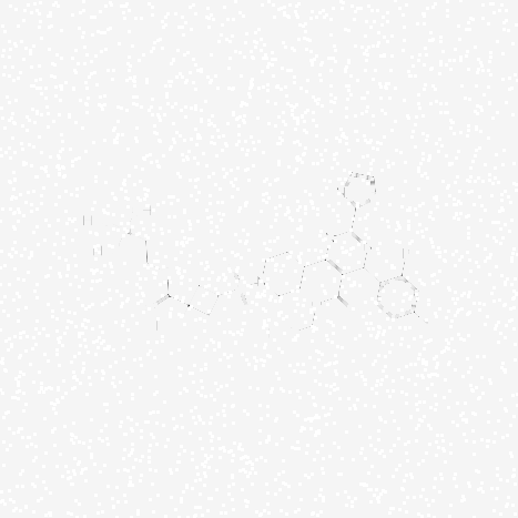 CCOC(=O)C1=C(C2CCN(S(=O)(=O)C3CC(C)(C(=O)OCC[Si](C)(C)C)C3)CC2)NC(c2nccs2)=NC1c1ccc(F)cc1Br